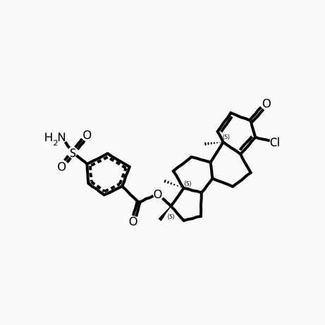 C[C@]12C=CC(=O)C(Cl)=C1CCC1C2CC[C@@]2(C)C1CC[C@]2(C)OC(=O)c1ccc(S(N)(=O)=O)cc1